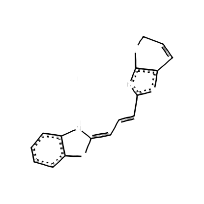 C(=Cc1nc2c(s1)C=CCO2)C=C1Nc2ccccc2S1.I